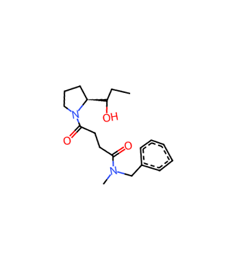 CCC(O)[C@@H]1CCCN1C(=O)CCC(=O)N(C)Cc1ccccc1